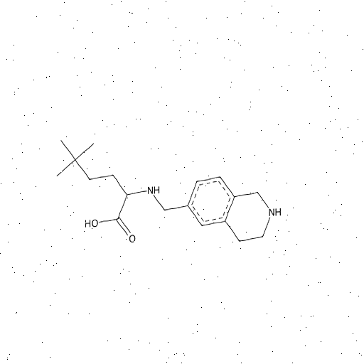 CC(C)(C)CCC(NCc1ccc2c(c1)CCNC2)C(=O)O